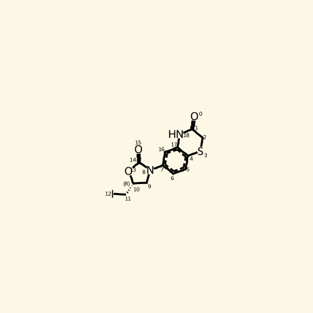 O=C1CSc2ccc(N3C[C@H](CI)OC3=O)cc2N1